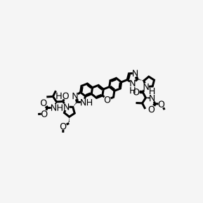 COC[C@H]1C[C@@H](c2nc3ccc4cc5c(cc4c3[nH]2)OCc2cc(-c3cnc([C@@H]4CCCN4C(=O)[C@@H](NC(=O)OC)C(C)C)[nH]3)ccc2-5)N(C(O)[C@@H](NC(=O)OC)C(C)C)C1